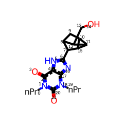 CCCn1c(=O)c2[nH]c(C3C4CC5C(C4CO)C53)nc2n(CCC)c1=O